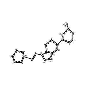 Nc1nccc(-c2ccc3c(C=Cc4cccnc4)n[nH]c3c2)n1